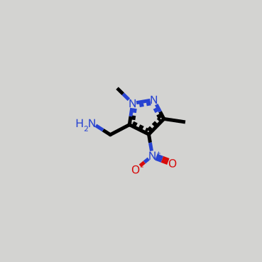 Cc1nn(C)c(CN)c1[N+](=O)[O-]